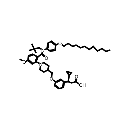 CCCCCCCCCCCCOc1ccc(N(CC(C)(C)C)C(=O)c2ccc(OC)cc2N2CCC(COc3cccc(C(CC(=O)O)C4CC4)c3)CC2)cc1